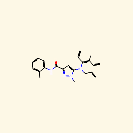 C=CCN(/C(C=C)=C(\C=C)CC)c1cc(C(=O)Nc2ccccc2C)nn1C